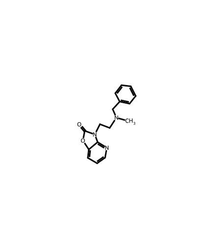 CN(CCn1c(=O)oc2cccnc21)Cc1ccccc1